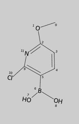 COc1ccc(B(O)O)c(Cl)n1